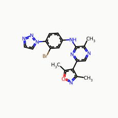 Cc1ncc(-c2c(C)noc2C)nc1Nc1ccc(-n2ccnn2)c(Br)c1